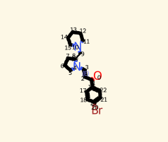 O=C(/C=C/N1CCC[C@H]1CN1CCCCC1)c1ccc(Br)cc1